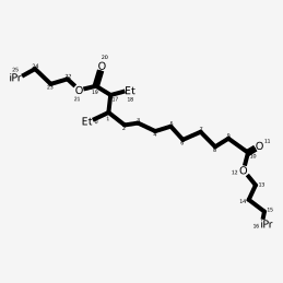 CCC(CCCCCCCCC(=O)OCCCC(C)C)C(CC)C(=O)OCCCC(C)C